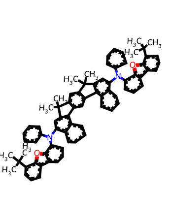 CC(C)(C)c1cccc2c1oc1c(N(c3ccccc3)c3cc4c(c5ccccc35)-c3cc5c(cc3C4(C)C)C(C)(C)c3cc(N(c4ccccc4)c4cccc6c4oc4c(C(C)(C)C)cccc46)c4ccccc4c3-5)cccc12